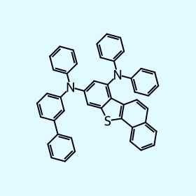 c1ccc(-c2cccc(N(c3ccccc3)c3cc(N(c4ccccc4)c4ccccc4)c4c(c3)sc3c5ccccc5ccc34)c2)cc1